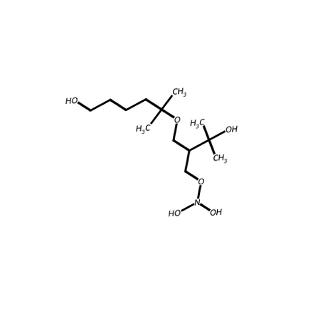 CC(C)(CCCCO)OCC(CON(O)O)C(C)(C)O